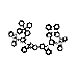 c1ccc([Si](c2ccccc2)(c2ccccc2)c2cccc(-c3cc(-n4c5ccccc5c5cc(-c6ccc7c(c6)nc6n(-c8cc(-c9cccc([Si](c%10ccccc%10)(c%10ccccc%10)c%10ccccc%10)c9)cc(-n9c%10ccccc%10n%10c%11ccccc%11nc9%10)n8)c8ccccc8n76)ccc54)nc(-n4c5ccccc5n5c6ccccc6nc45)c3)c2)cc1